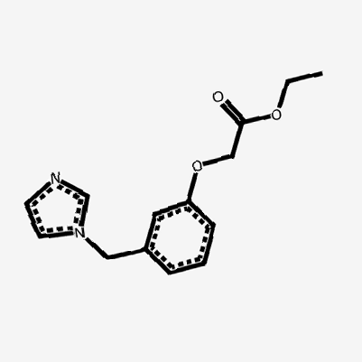 CCOC(=O)COc1cccc(Cn2ccnc2)c1